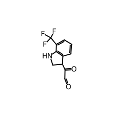 O=CC(=O)C1CNc2c1cccc2C(F)(F)F